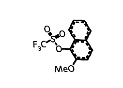 COc1ccc2ccccc2c1OS(=O)(=O)C(F)(F)F